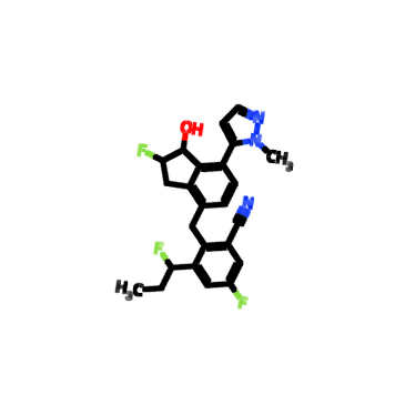 CCC(F)c1cc(F)cc(C#N)c1Cc1ccc(-c2ccnn2C)c2c1CC(F)C2O